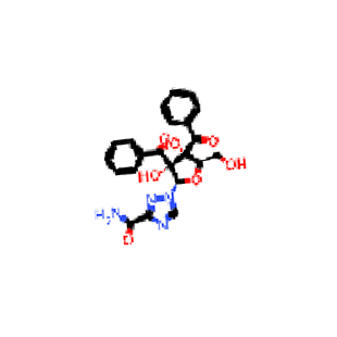 NC(=O)c1ncn([C@@H]2O[C@H](CO)[C@](O)(C(=O)c3ccccc3)[C@]2(O)C(=O)c2ccccc2)n1